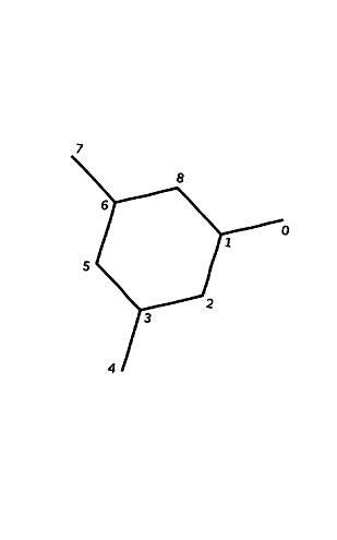 CC1CC(C)CC(C)C1